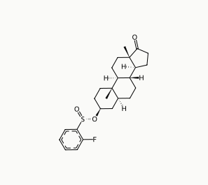 C[C@]12CC[C@H](O[S@@](=O)c3ccccc3F)C[C@@H]1CC[C@@H]1[C@@H]2CC[C@]2(C)C(=O)CC[C@@H]12